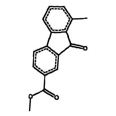 COC(=O)c1ccc2c(c1)C(=O)c1c(C)cccc1-2